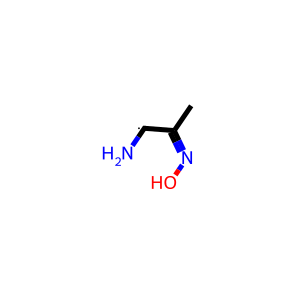 CC([CH]N)=NO